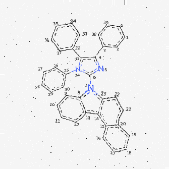 c1ccc(-c2nc(-n3c4ccccc4c4c5ccccc5ccc43)n(-c3ccccc3)c2-c2ccccc2)cc1